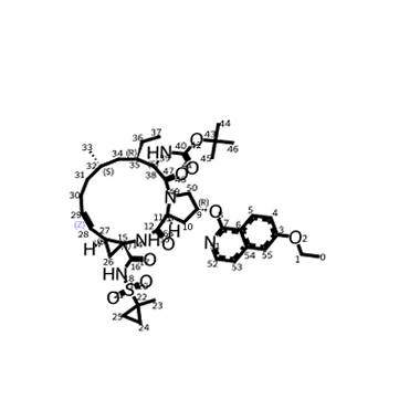 CCOc1ccc2c(O[C@@H]3C[C@H]4C(=O)N[C@]5(C(=O)NS(=O)(=O)C6(C)CC6)C[C@H]5/C=C\CC[C@H](C)C[C@@H](CC)[C@H](NC(=O)OC(C)(C)C)C(=O)N4C3)nccc2c1